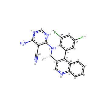 C[C@H](Nc1ncnc(N)c1C#N)c1cnc2ccccc2c1-c1cc(F)cc(F)c1